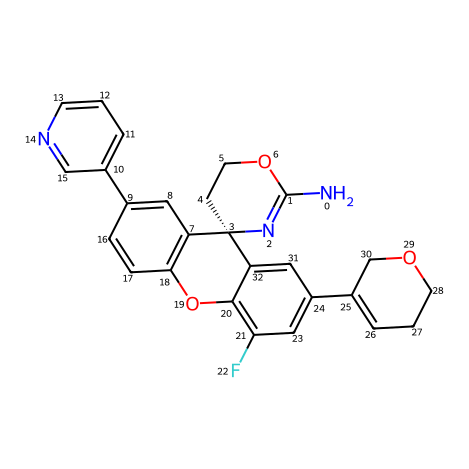 NC1=N[C@]2(CCO1)c1cc(-c3cccnc3)ccc1Oc1c(F)cc(C3=CCCOC3)cc12